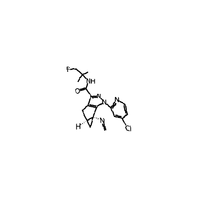 C=N[C@]12C[C@H]1Cc1c(C(=O)NC(C)(C)CF)nn(-c3cc(Cl)ccn3)c12